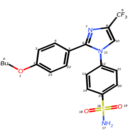 CCCCOc1ccc(-c2nc(C(F)(F)F)cn2-c2ccc(S(N)(=O)=O)cc2)cc1